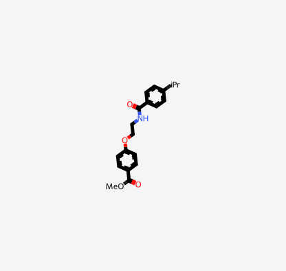 COC(=O)c1ccc(OCCNC(=O)c2ccc(C(C)C)cc2)cc1